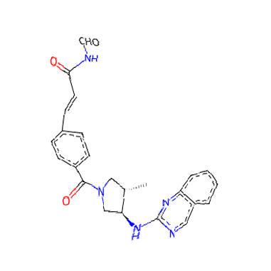 C[C@H]1CN(C(=O)c2ccc(C=CC(=O)NC=O)cc2)C[C@@H]1Nc1ncc2ccccc2n1